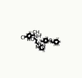 C[C@H](NC(O)CCc1nc2cccnc2n1Cc1ccc(OCc2ccccc2)cc1)c1ccc(Cl)cc1